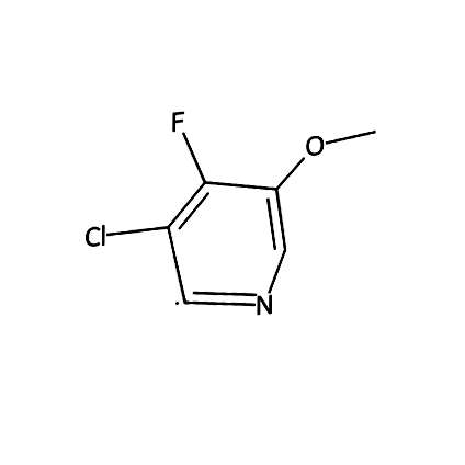 COc1cn[c]c(Cl)c1F